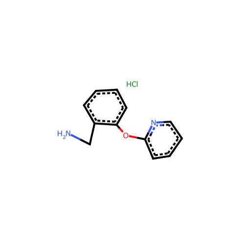 Cl.NCc1ccccc1Oc1ccccn1